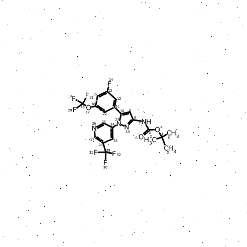 CC(C)(C)OC(=O)Nc1cc(-c2cc(F)cc(OC(F)(F)F)c2)n(-c2cncc(C(F)(F)F)c2)n1